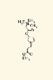 COC(=O)CCN1CCC(OC(=O)C[N+](C)(C)C)C1